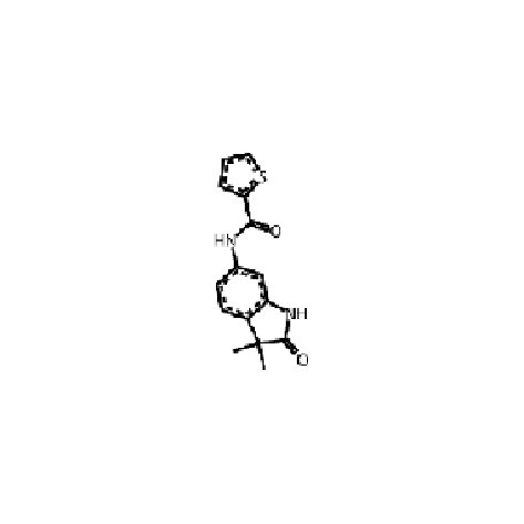 CC1(C)C(=O)Nc2cc(NC(=O)c3cccs3)ccc21